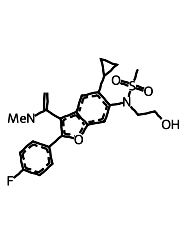 C=C(NC)c1c(-c2ccc(F)cc2)oc2cc(N(CCO)S(C)(=O)=O)c(C3CC3)cc12